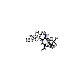 C\C=C(/C=C(CO[Si](C)(C)C(C)(C)C)\C(=C/N)B1OC(C)(C)C(C)(C)O1)C(F)(F)F